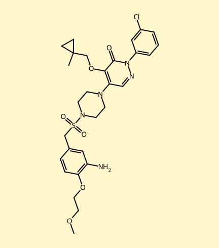 COCCOc1ccc(CS(=O)(=O)N2CCN(c3cnn(-c4cccc(Cl)c4)c(=O)c3OCC3(C)CC3)CC2)cc1N